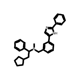 CN(Cc1cccc(-c2cnc(-c3ccccc3)[nH]2)c1)C(CC1CCCC1)c1ccccc1